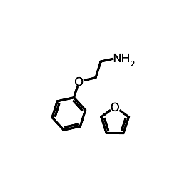 NCCOc1ccccc1.c1ccoc1